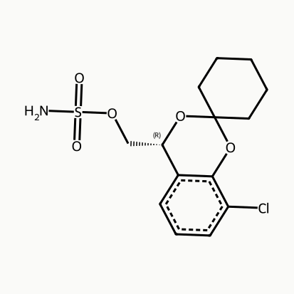 NS(=O)(=O)OC[C@@H]1OC2(CCCCC2)Oc2c(Cl)cccc21